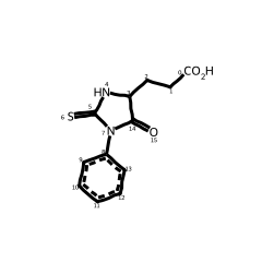 O=C(O)CCC1NC(=S)N(c2ccccc2)C1=O